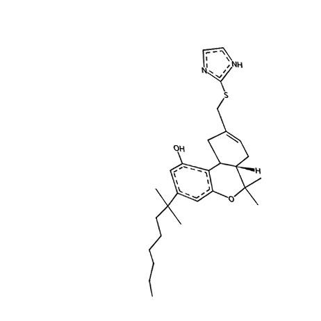 CCCCCCC(C)(C)c1cc(O)c2c(c1)OC(C)(C)[C@H]1CC=C(CSc3ncc[nH]3)CC21